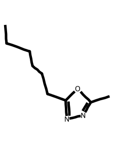 CCCCCCc1nnc(C)o1